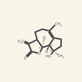 C=C1C(=O)O[C@H]2C1CCC(C)=C1CC[C@@](C)(O)[C@@H]12